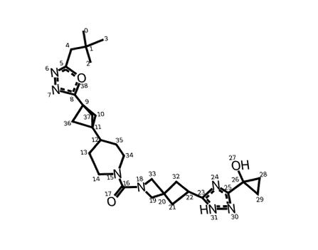 CC(C)(C)Cc1nnc(C23CC(C4CCN(C(=O)N5CC6(CC(c7nc(C8(O)CC8)n[nH]7)C6)C5)CC4)(C2)C3)o1